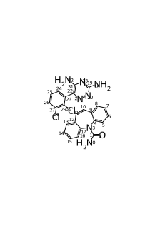 NC(=O)N1c2ccccc2C=Cc2ccccc21.Nc1nnc(-c2cccc(Cl)c2Cl)c(N)n1